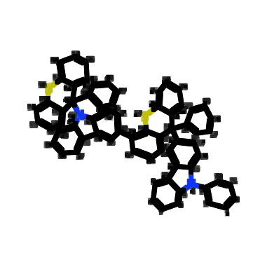 c1ccc(-n2c3ccccc3c3cc(C4(c5ccccc5)c5ccccc5Sc5c(-c6ccc7c(c6)c6ccccc6n7C6(c7ccccc7)c7ccccc7Sc7ccccc76)cccc54)ccc32)cc1